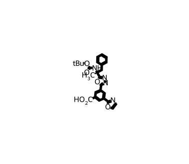 CC(C)(C)OC(=O)N[C@](C)(Cc1ccccc1)c1nnc(-c2cc(C(=O)O)cc(-c3ncco3)c2)o1